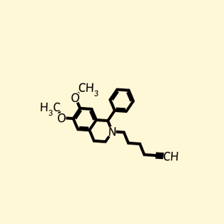 C#CCCCCN1CCc2cc(OC)c(OC)cc2C1c1ccccc1